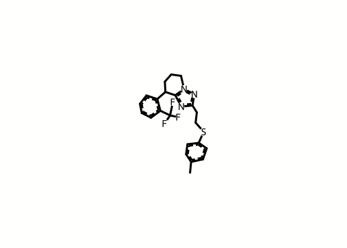 Cc1ccc(SCCc2nc3n(n2)CCCC3c2ccccc2C(F)(F)F)cc1